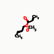 C=CC(=O)OCC=CC.C=O